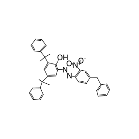 CC(C)(c1ccccc1)c1cc(N=Nc2ccc(Cc3ccccc3)cc2[N+](=O)[O-])c(O)c(C(C)(C)c2ccccc2)c1